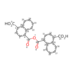 O=C(O)c1ccc(C(=O)OC(=O)c2ccc(C(=O)O)c3ccccc23)c2ccccc12